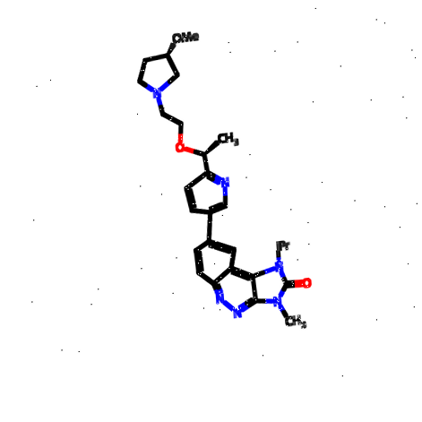 CO[C@@H]1CCN(CCO[C@@H](C)c2ccc(-c3ccc4nnc5c(c4c3)n(C(C)C)c(=O)n5C)cn2)C1